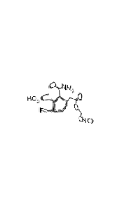 NC(=O)c1c(CC(=O)OCC=O)ccc(F)c1C(=O)O